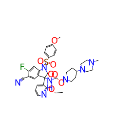 CCOc1ncccc1C1(NC(=O)ON2CCC(N3CCN(C)CC3)CC2)C(=O)N(S(=O)(=O)c2ccc(OC)cc2)c2cc(F)c(C#N)cc21